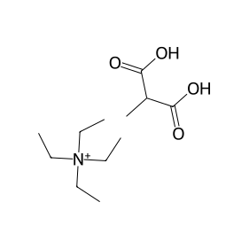 CC(C(=O)O)C(=O)O.CC[N+](CC)(CC)CC